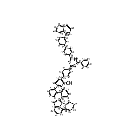 N#Cc1cc(-c2ccccc2-c2ccccc2-c2ccc3cccc4c3c2-c2ccccc2-4)ccc1-c1ccc(-c2nc(-c3ccccc3)nc(-c3ccc(-c4ccc5c(c4)-c4cccc6cccc-5c46)cc3)n2)cc1